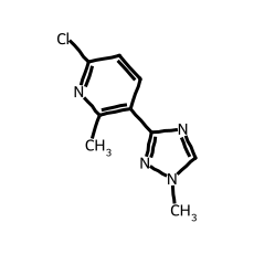 Cc1nc(Cl)ccc1-c1ncn(C)n1